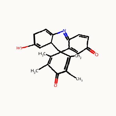 CC1=C(C)C2(C3=CC(=O)C=CC3=NC3=CCC(O)=CC32)C(C)=C(C)C1=O